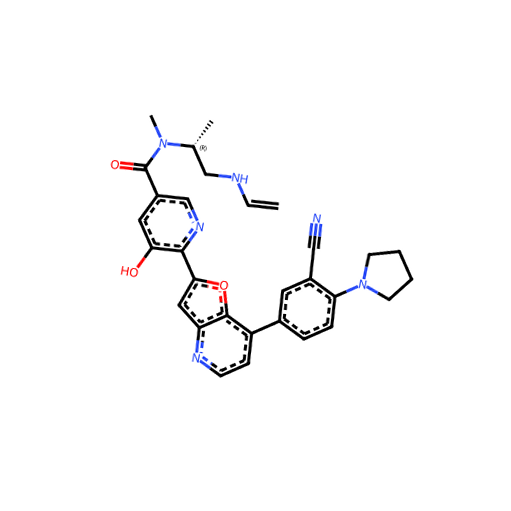 C=CNC[C@@H](C)N(C)C(=O)c1cnc(-c2cc3nccc(-c4ccc(N5CCCC5)c(C#N)c4)c3o2)c(O)c1